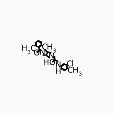 Cc1ccc(NCC(O)CN2CC3CN(C(=O)c4c(C)cccc4C)CC3C2)cc1Cl